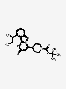 CCC(C)c1cccc2nn3c(C4CCN(C(=O)OC(C)(C)C)CC4)cc(=O)[nH]c3c12